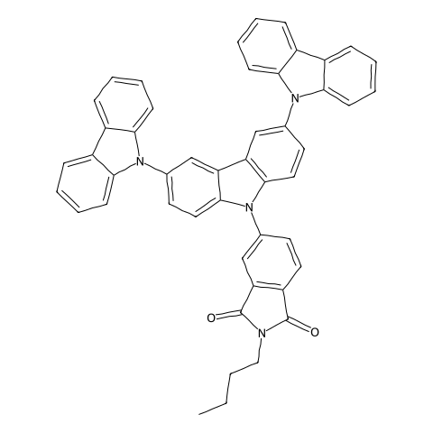 CCCCN1C(=O)c2ccc(-n3c4ccc(-n5c6ccccc6c6ccccc65)cc4c4cc(-n5c6ccccc6c6ccccc65)ccc43)cc2C1=O